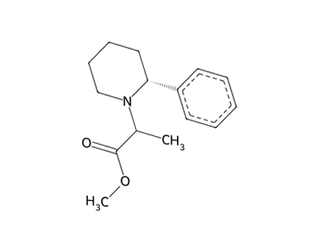 COC(=O)C(C)N1CCCC[C@@H]1c1ccccc1